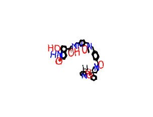 CC(=O)N(Cc1ccc(CNC[C@H](O)c2ccc(O)c3[nH]c(=O)ccc23)cc1)Cc1ccc(C(=O)N2CCC(C(=O)O[C@H]3CN4CCC3CC4)(c3ccccc3)CC2)cc1